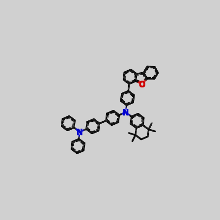 CC1(C)CCC(C)(C)c2cc(N(c3ccc(-c4ccc(N(c5ccccc5)c5ccccc5)cc4)cc3)c3ccc(-c4cccc5c4oc4ccccc45)cc3)ccc21